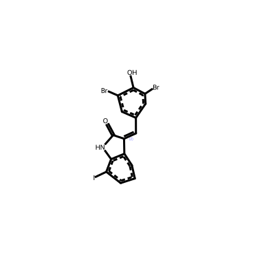 O=C1Nc2c(I)cccc2/C1=C/c1cc(Br)c(O)c(Br)c1